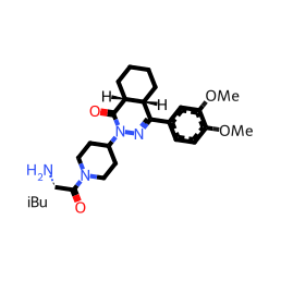 CC[C@H](C)[C@H](N)C(=O)N1CCC(N2N=C(c3ccc(OC)c(OC)c3)[C@H]3CCCC[C@H]3C2=O)CC1